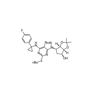 CCCCSc1nc(NC2(c3ccc(F)cc3)CC2)c2nnn([C@@H]3C[C@H](O)[C@H]4OC(C)(C)O[C@H]43)c2n1